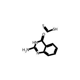 Nc1nc2ccccc2c(=O)[nH]1.S=CS